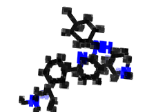 C=C/C(=C\N(C)C)c1cccc(-c2ccc(C(/C=N\C)=C/C)c(NC3CCC(C)CC3)n2)c1